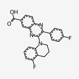 O=C(O)c1ccc2nc(-c3ccc(F)cc3)c(N3CCCc4c(F)cccc43)nc2c1